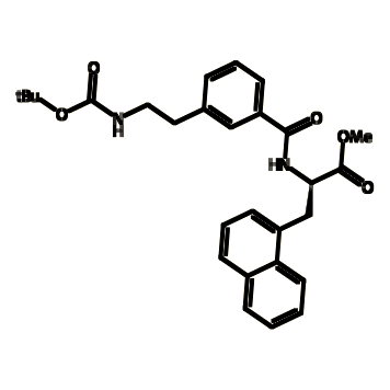 COC(=O)[C@@H](Cc1cccc2ccccc12)NC(=O)c1cccc(CCNC(=O)OC(C)(C)C)c1